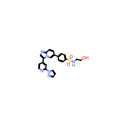 O=S(=O)(NCCO)c1ccc(-c2ccc3ncc(-c4ccnc(-n5cccn5)c4)n3c2)cc1